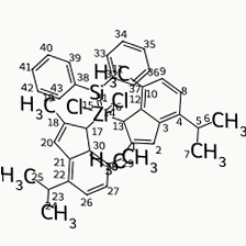 CC1=Cc2c(C(C)C)ccc(C)c2[CH]1[Zr]([Cl])([Cl])([CH]1C(C)=Cc2c(C(C)C)ccc(C)c21)=[Si](c1ccccc1)c1ccccc1